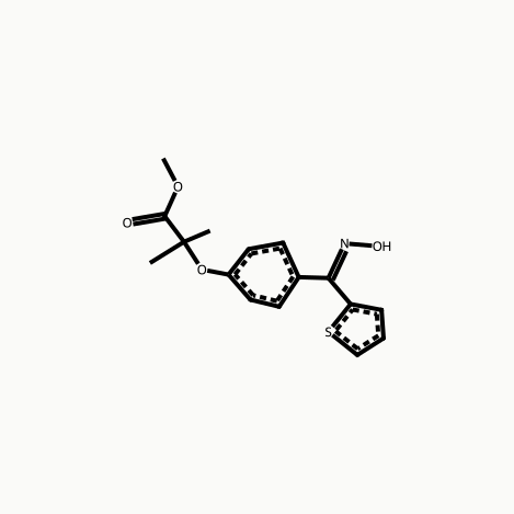 COC(=O)C(C)(C)Oc1ccc(C(=NO)c2cccs2)cc1